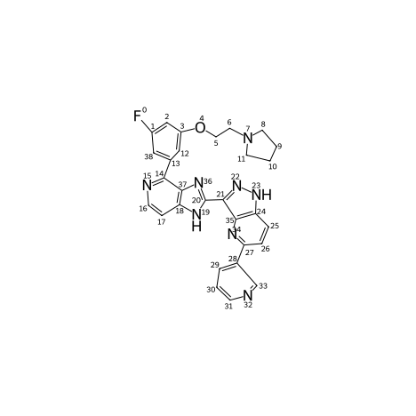 Fc1cc(OCCN2CCCC2)cc(-c2nccc3[nH]c(-c4n[nH]c5ccc(-c6cccnc6)nc45)nc23)c1